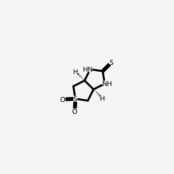 O=S1(=O)C[C@@H]2NC(=S)N[C@@H]2C1